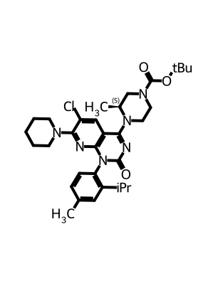 Cc1ccc(-n2c(=O)nc(N3CCN(C(=O)OC(C)(C)C)C[C@@H]3C)c3cc(Cl)c(N4CCCCC4)nc32)c(C(C)C)c1